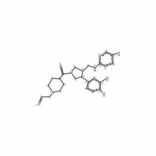 O=CCN1CCC(C(=O)N2CC(CNc3ncc(Cl)cn3)C(c3ccc(Cl)c(Cl)c3)C2)CC1